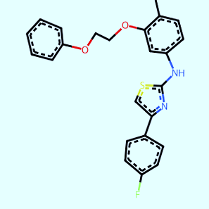 Cc1ccc(Nc2nc(-c3ccc(F)cc3)cs2)cc1OCCOc1ccccc1